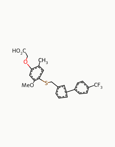 COc1cc(OCC(=O)O)c(C)cc1SCc1cccc(-c2ccc(C(F)(F)F)cc2)c1